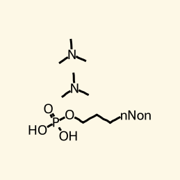 CCCCCCCCCCCCOP(=O)(O)O.CN(C)C.CN(C)C